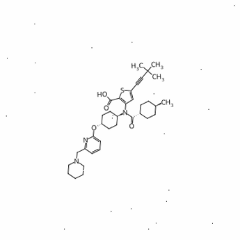 CC(C)(C)C#Cc1cc(N(C(=O)[C@H]2CC[C@H](C)CC2)[C@H]2CC[C@H](Oc3cccc(CN4CCCCC4)n3)CC2)c(C(=O)O)s1